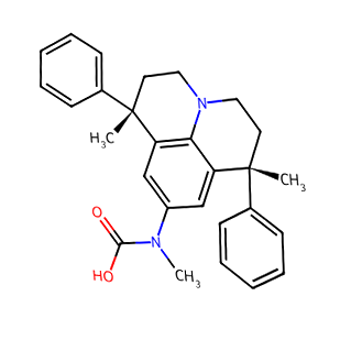 CN(C(=O)O)c1cc2c3c(c1)[C@@](C)(c1ccccc1)CCN3CC[C@@]2(C)c1ccccc1